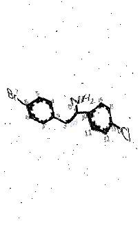 N/C(=C\c1ccc(Br)cc1)c1ccc(Cl)cc1